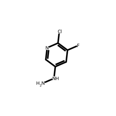 NNc1cnc(Cl)c(F)c1